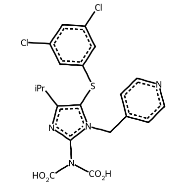 CC(C)c1nc(N(C(=O)O)C(=O)O)n(Cc2ccncc2)c1Sc1cc(Cl)cc(Cl)c1